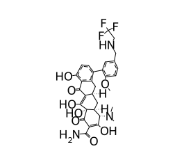 COc1ccc(CNCC(F)(F)F)cc1-c1ccc(O)c2c1C[C@H]1C[C@H]3[C@H](N(C)C)C(O)=C(C(N)=O)C(=O)[C@@]3(O)C(O)=C1C2=O